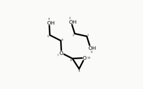 OCCO.OCCOC1CO1